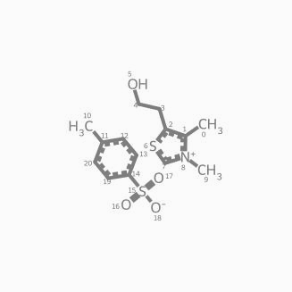 Cc1c(CCO)sc[n+]1C.Cc1ccc(S(=O)(=O)[O-])cc1